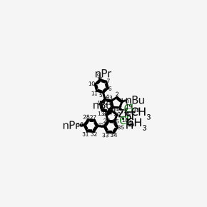 CCCCC1=Cc2c(-c3ccc(CCC)cc3)cccc2[CH]1[Zr]([Cl])([Cl])([CH]1C(CCCC)=Cc2c(-c3ccc(CCC)cc3)cccc21)[SiH](C)C